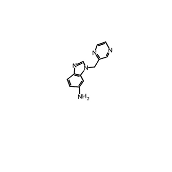 Nc1ccc2ncn(Cc3cnccn3)c2c1